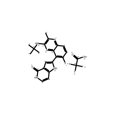 Cc1nc2ccc(F)c(-c3cc4c(=O)[nH]ccc4[nH]3)c2nc1NC(C)(C)C.O=C(O)C(F)(F)F